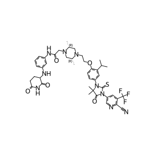 CC(C)c1cc(N2C(=S)N(c3cnc(C#N)c(C(F)(F)F)c3)C(=O)C2(C)C)ccc1OCCN1C[C@@H](C)N(CC(=O)Nc2cccc(NC3CCC(=O)NC3=O)c2)C[C@H]1C